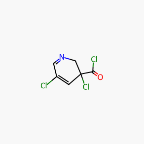 O=C(Cl)C1(Cl)C=C(Cl)C=NC1